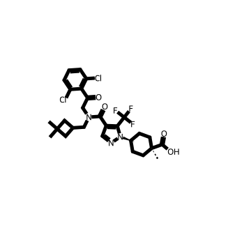 CC1(C)CC(CN(CC(=O)c2c(Cl)cccc2Cl)C(=O)c2cnn([C@H]3CC[C@@](C)(C(=O)O)CC3)c2C(F)(F)F)C1